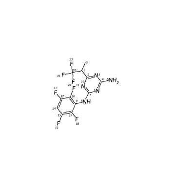 CC(c1nc(N)nc(Nc2c(F)c(F)cc(F)c2F)n1)C(F)(F)F